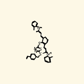 C=Cc1ccc(CSc2nnc(SC3=C(/C=C/C(C)=[N+](\C)c4ccccc4C)CCC/C3=C\C=C(/C)N(C)c3ccccc3C)s2)cc1